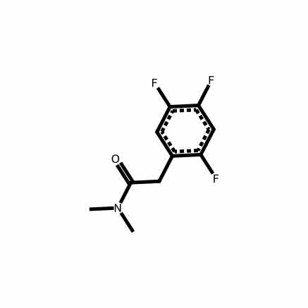 CN(C)C(=O)Cc1cc(F)c(F)cc1F